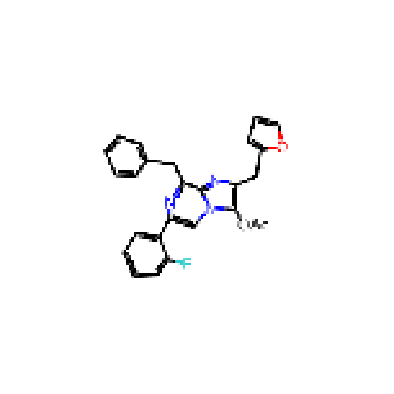 CC(=O)Oc1c(Cc2ccco2)nc2c(Cc3ccccc3)nc(-c3ccccc3F)cn12